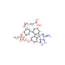 CC(=O)O.COc1ccc(C2(c3cccc(-c4cc(OC)cc(OS(C)(=O)=O)c4)c3)N=C(N)N3CCN=C32)cc1